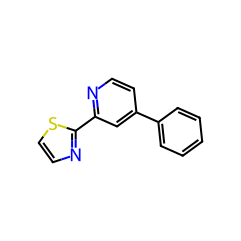 c1ccc(-c2ccnc(-c3nccs3)c2)cc1